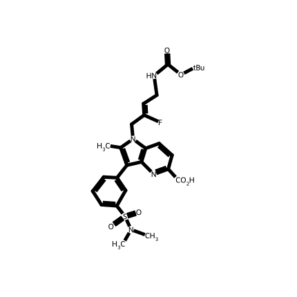 Cc1c(-c2cccc(S(=O)(=O)N(C)C)c2)c2nc(C(=O)O)ccc2n1CC(F)=CCNC(=O)OC(C)(C)C